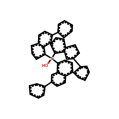 O[Si](c1cccc2ccc(-c3ccccc3)cc12)(c1cccc2ccc(-c3ccccc3)cc12)c1cccc2ccc(-c3ccccc3)cc12